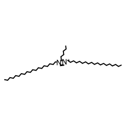 CCCCCCCCCCCCCCCCCCCn1cc[n+](CCCCCCCCCCCCCCCCCCC)c1CCCCC